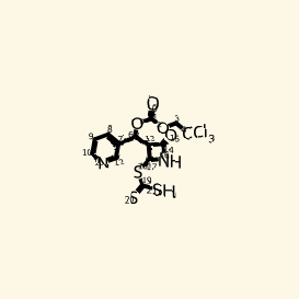 O=C(OCC(Cl)(Cl)Cl)OC(c1cccnc1)C1C(=O)NC1SC(=S)S